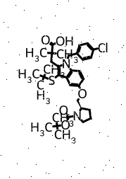 CC(C)(C)OC(=O)N1CCC[C@@H]1COc1ccc2c(c1)c(SC(C)(C)C)c(CC(C)(C)C(=O)O)n2Cc1ccc(Cl)cc1